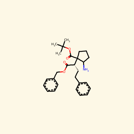 CC(C)(C)OC(=O)C1([C@H](CCc2ccccc2)C(=O)OCc2ccccc2)CCCC1N